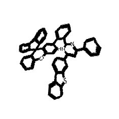 C1=C(c2ccc3c(c2)sc2ccccc23)NC(c2ccccc2-c2ccc3c(c2)C2(c4ccccc4O3)c3ccccc3-c3ccccc32)N=C1c1ccccc1